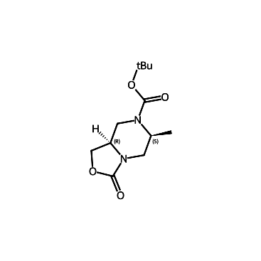 C[C@H]1CN2C(=O)OC[C@H]2CN1C(=O)OC(C)(C)C